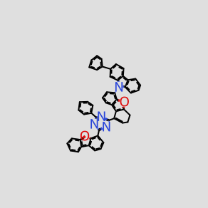 C1=C(c2nc(-c3ccccc3)nc(-c3cccc4c3oc3ccccc34)n2)c2c(oc3c(-n4c5ccccc5c5ccc(-c6ccccc6)cc54)cccc23)CC1